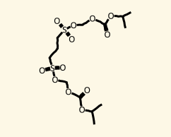 CC(C)OC(=O)OCOS(=O)(=O)CCCS(=O)(=O)OCOC(=O)OC(C)C